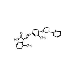 Cc1cc(NC=C2C(=O)Nc3cccc(C)c32)ccc1N1CCC(c2ccccn2)C1